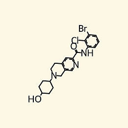 O=C(Nc1cccc(Br)c1Cl)c1cc2c(cn1)CN(C1CCC(O)CC1)CC2